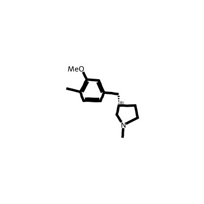 COc1cc(C[C@@H]2CCN(C)C2)ccc1C